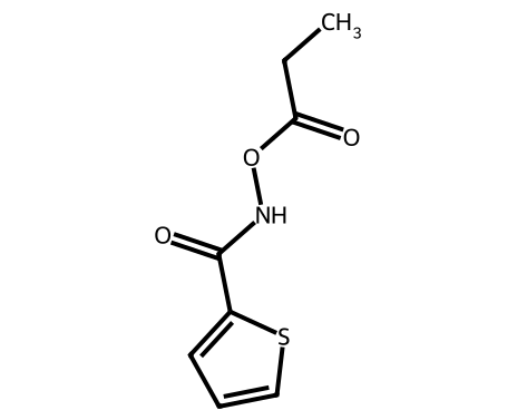 CCC(=O)ONC(=O)c1cccs1